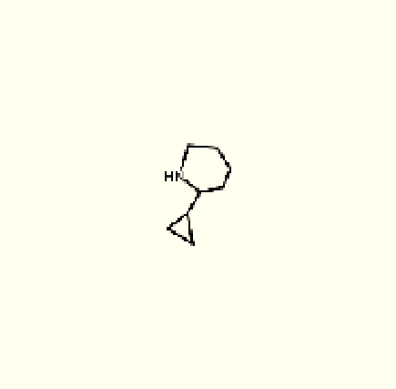 C1CCC(C2CC2)NC1